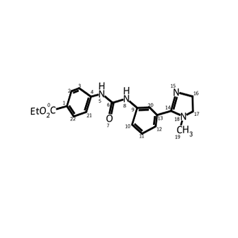 CCOC(=O)c1ccc(NC(=O)Nc2cccc(C3=NCCN3C)c2)cc1